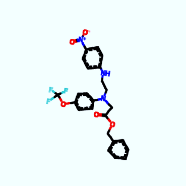 O=C(CN(CCNc1ccc([N+](=O)[O-])cc1)c1ccc(OC(F)(F)F)cc1)OCc1ccccc1